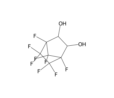 OC1C(O)C2(F)C(F)(F)C(F)(F)C1(F)C2(F)F